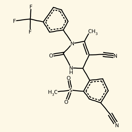 CC1=C(C#N)C(c2ccc(C#N)cc2S(C)(=O)=O)NC(=O)N1c1cccc(C(F)(F)F)c1